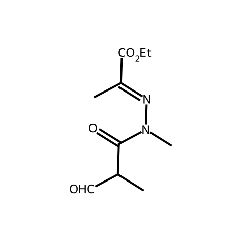 CCOC(=O)C(C)=NN(C)C(=O)C(C)C=O